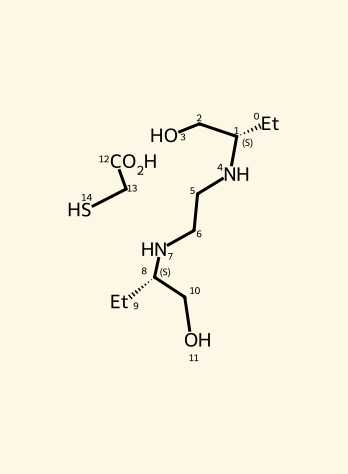 CC[C@@H](CO)NCCN[C@@H](CC)CO.O=C(O)CS